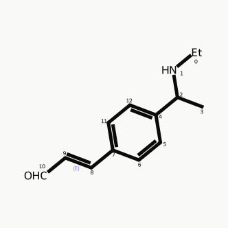 CCNC(C)c1ccc(/C=C/C=O)cc1